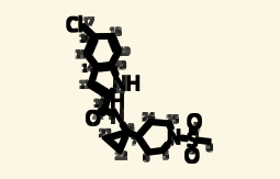 CS(=O)(=O)N1CCC(C2(NC(=O)c3cc4cc(Cl)ccc4[nH]3)CC2)CC1